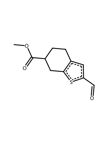 COC(=O)C1CCc2cc(C=O)sc2C1